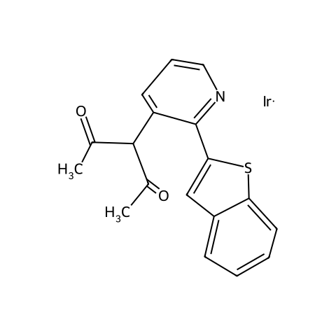 CC(=O)C(C(C)=O)c1cccnc1-c1cc2ccccc2s1.[Ir]